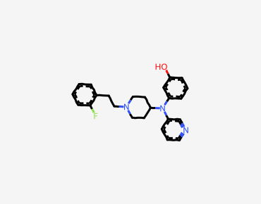 Oc1cccc(N(c2cccnc2)C2CCN(CCc3ccccc3F)CC2)c1